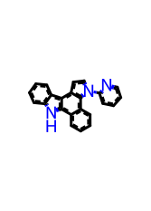 c1ccc(-n2ccc3c4c5ccccc5[nH]c4c4ccccc4c32)nc1